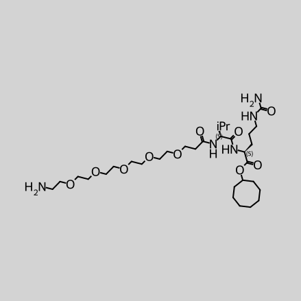 CC(C)[C@H](NC(=O)CCOCCOCCOCCOCCOCCN)C(=O)N[C@@H](CCCNC(N)=O)C(=O)OC1CCCCCCC1